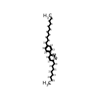 CCCCCCCCCCCc1ccc(-c2ccc(CCCCCCCC)nn2)cc1